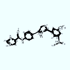 O=C(Nc1ccc(-c2cnc(-c3cc(B(F)F)cc(C(F)(F)F)c3)[nH]2)cc1)c1cscn1